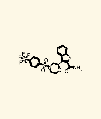 NC(=O)c1sc2ccccc2c1[C@@H]1CN(S(=O)(=O)c2ccc(S(F)(F)(F)(F)F)cc2)CCO1